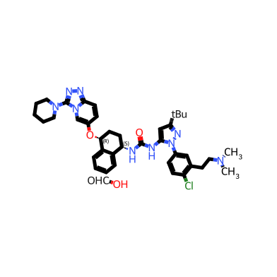 CN(C)CCc1cc(-n2nc(C(C)(C)C)cc2NC(=O)N[C@H]2CC[C@@H](Oc3ccc4nnc(N5CCCCC5)n4c3)c3ccccc32)ccc1Cl.O=CO